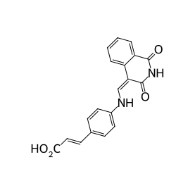 O=C(O)C=Cc1ccc(NC=C2C(=O)NC(=O)c3ccccc32)cc1